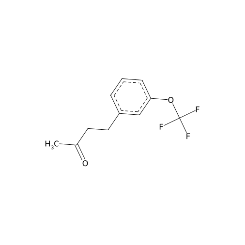 CC(=O)CCc1cccc(OC(F)(F)F)c1